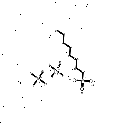 CCCCCCCCP(=O)([O-])[O-].C[N+](C)(C)C.C[N+](C)(C)C